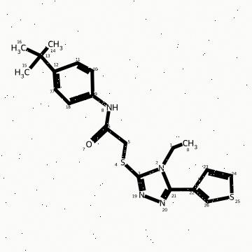 CCn1c(SCC(=O)Nc2ccc(C(C)(C)C)cc2)nnc1-c1ccsc1